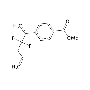 C=CCC(F)(F)C(=C)c1ccc(C(=O)OC)cc1